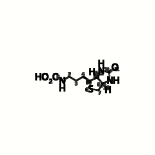 O=C(O)NCCC[C@@H]1SC[C@@H]2NC(=O)N[C@@H]21